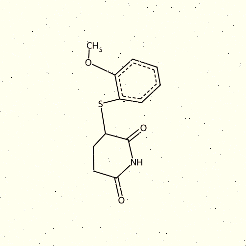 COc1ccccc1SC1CCC(=O)NC1=O